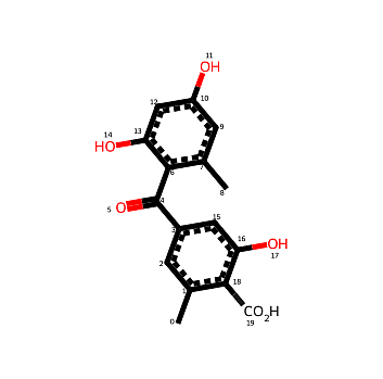 Cc1cc(C(=O)c2c(C)cc(O)cc2O)cc(O)c1C(=O)O